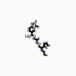 CCC/C=C(/CO/N=C(\C)COC(O)C1=CN2C(=NN(C)C2C)C=C1)c1cccs1